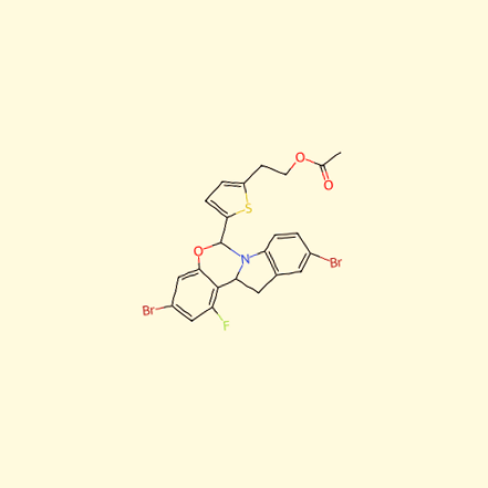 CC(=O)OCCc1ccc(C2Oc3cc(Br)cc(F)c3C3Cc4cc(Br)ccc4N32)s1